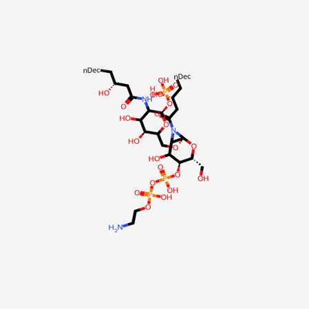 CCCCCCCCCCC[C@@H](O)CC(=O)NC1C(O)[C@H](O)C(CO[C@]23O[C@H](CO)[C@@H](OP(=O)(O)OP(=O)(O)OCCN)C(O)C2N3C(=O)C[C@H](O)CCCCCCCCCCC)O[C@@H]1OP(=O)(O)O